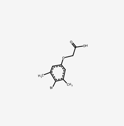 Cc1cc(OCC(=O)O)cc(C)c1Br